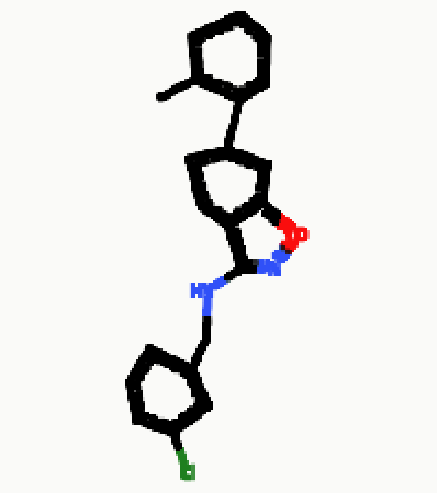 Cc1ccccc1-c1ccc2c(NCc3cccc(Cl)c3)noc2c1